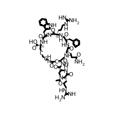 CC(=O)N1C[C@H](C(=O)N[C@H]2CC(=O)NCCCC[C@@H](C(=O)O)NC(=O)[C@H](Cc3c[nH]c4ccccc34)NC(=O)[C@H](CCCNC(=N)N)NC(=O)[C@@H](Cc3ccccc3)NC(=O)[C@H](CCC(N)=O)NC2=O)NC(=O)[C@@H]1CCCNC(=N)N